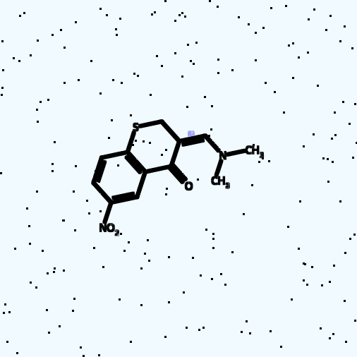 CN(C)/C=C1/CSc2ccc([N+](=O)[O-])cc2C1=O